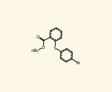 CCCCOC(=O)c1ccccc1Sc1ccc(Br)cc1